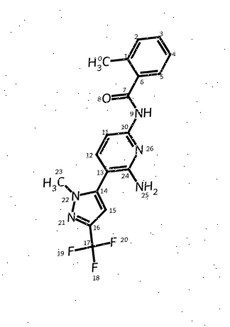 Cc1ccccc1C(=O)Nc1ccc(-c2cc(C(F)(F)F)nn2C)c(N)n1